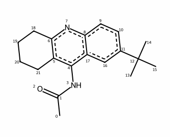 CC(=O)Nc1c2c(nc3ccc(C(C)(C)C)cc13)CCCC2